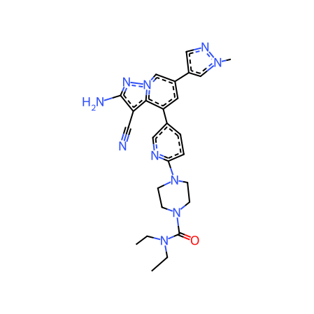 CCN(CC)C(=O)N1CCN(c2ccc(-c3cc(-c4cnn(C)c4)cn4nc(N)c(C#N)c34)cn2)CC1